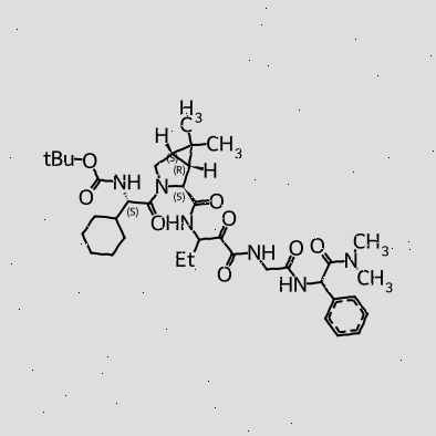 CCC(NC(=O)[C@@H]1[C@@H]2[C@H](CN1C(=O)[C@@H](NC(=O)OC(C)(C)C)C1CCCCC1)C2(C)C)C(=O)C(=O)NCC(=O)NC(C(=O)N(C)C)c1ccccc1